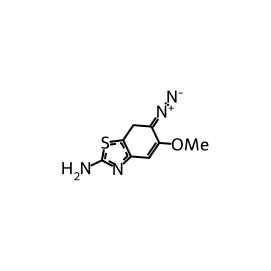 COC1=Cc2nc(N)sc2CC1=[N+]=[N-]